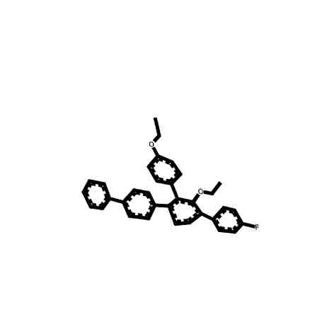 CCOc1ccc(-c2c(-c3ccc(-c4ccccc4)cc3)[c]cc(-c3ccc(F)cc3)c2OCC)cc1